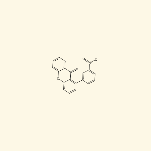 O=c1c2ccccc2oc2cccc(-c3cccc([N+](=O)[O-])c3)c12